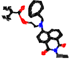 C=C(C)C(=O)OCCN(Cc1ccccc1)c1ccc2c3c(cccc13)C(=O)N(CCCCCC)C2=O